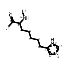 O=C(I)C(CCCCCc1cnc[nH]1)NI